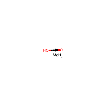 [MgH2].[O]=[Al][OH]